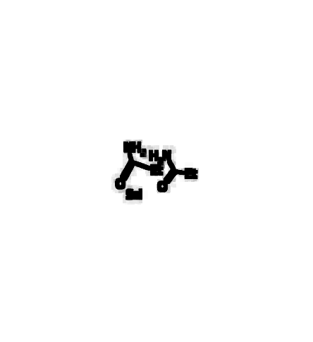 CCC(N)=O.CCC(N)=O.[Sn]